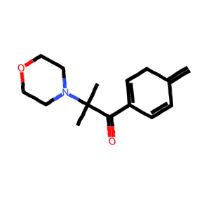 C=C1C=CC(C(=O)C(C)(C)N2CCOCC2)=CC1